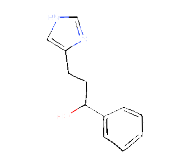 OC(CCc1c[nH]cn1)c1ccccc1